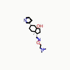 CN(C)CCO/N=C/[C@H]1CC[C@]2(O)C[C@@H](c3cccnc3)CC[C@]12C